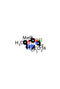 COc1cc(Oc2ncc(C(F)(F)F)cc2Cl)ccc1COc1ccc(C)cc1-c1ccnc(-n2ncc(C(=O)O)c2C(F)(F)F)n1